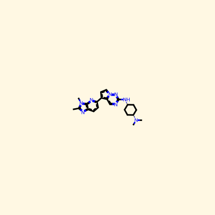 Cc1nc2ccc(-c3ccn4nc(N[C@H]5CC[C@@H](N(C)C)CC5)ncc34)nc2n1C